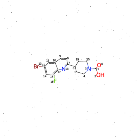 O=C(O)N1CCC(c2ccc3cc(Br)cc(F)c3n2)CC1